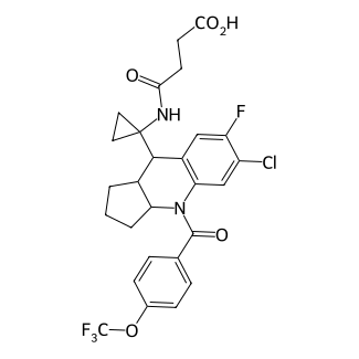 O=C(O)CCC(=O)NC1(C2c3cc(F)c(Cl)cc3N(C(=O)c3ccc(OC(F)(F)F)cc3)C3CCCC32)CC1